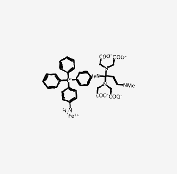 CNCCC(NC)(N(CC(=O)[O-])CC(=O)[O-])N(CC(=O)[O-])CC(=O)[O-].Nc1ccc([P+](c2ccccc2)(c2ccccc2)c2ccccc2)cc1.[Fe+3]